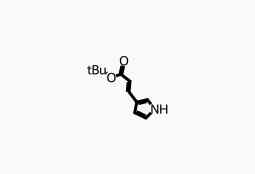 CC(C)(C)OC(=O)C=Cc1cc[nH]c1